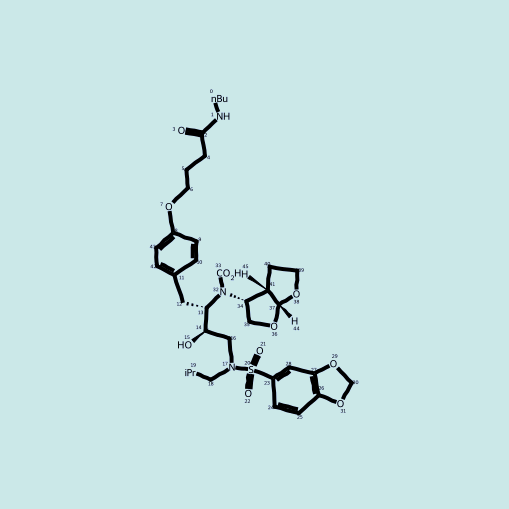 CCCCNC(=O)CCCOc1ccc(C[C@@H]([C@H](O)CN(CC(C)C)S(=O)(=O)c2ccc3c(c2)OCO3)N(C(=O)O)[C@H]2CO[C@H]3OCC[C@H]32)cc1